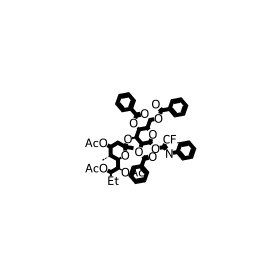 CC[C@@H](OC(C)=O)[C@@H](OC(C)=O)[C@@H]1OC(C)(O[C@@H]2C(OC(=O)c3ccccc3)C(O/C(=N/c3ccccc3)C(F)(F)F)OC(COC(=O)c3ccccc3)[C@@H]2OC(=O)c2ccccc2)CC(OC(C)=O)[C@H]1C